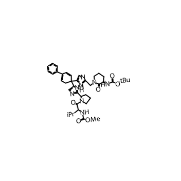 COC(=O)NC(C(=O)N1CCCC1c1ncc(C2(c3cnc(CN4CCC[C@@H](NC(=O)OC(C)(C)C)C4=O)[nH]3)C=CC(c3ccccc3)=CC2)[nH]1)C(C)C